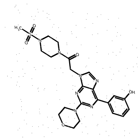 CS(=O)(=O)N1CCN(C(=O)Cn2cnc3c(-c4cccc(O)c4)nc(N4CCOCC4)nc32)CC1